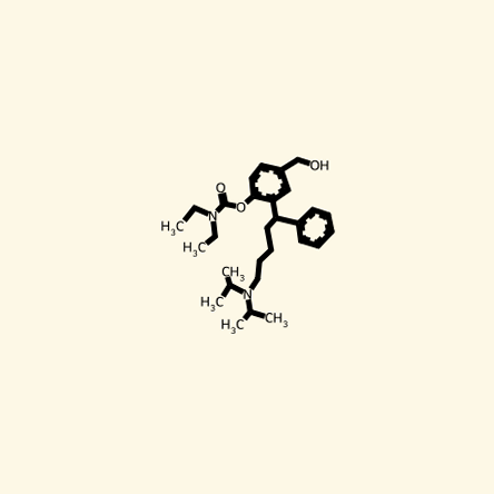 CCN(CC)C(=O)Oc1ccc(CO)cc1C(CCCCN(C(C)C)C(C)C)c1ccccc1